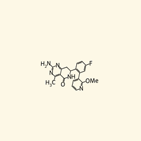 COc1ncccc1-c1cc(F)ccc1C1Cc2nc(N)nc(C)c2C(=O)N1